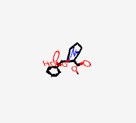 COC(=O)C1C(OC(=O)c2ccccc2)CC2CCC1N2CCCO